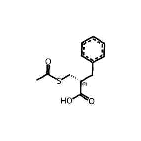 CC(=O)SC[C@H](Cc1ccccc1)C(=O)O